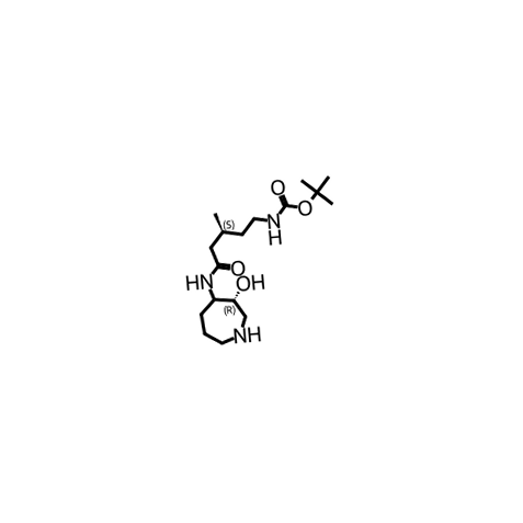 C[C@@H](CCNC(=O)OC(C)(C)C)CC(=O)NC1CCCNC[C@H]1O